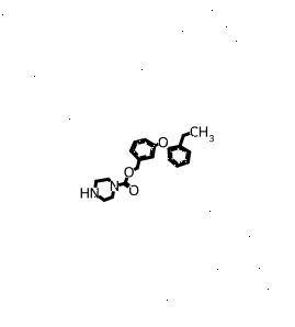 CCc1ccccc1Oc1cccc(COC(=O)N2CCNCC2)c1